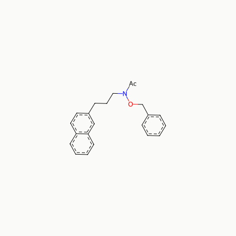 CC(=O)N(CCCc1ccc2ccccc2c1)OCc1ccccc1